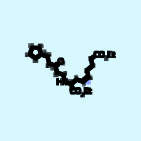 CCOC(=O)CCC/C=C\CC(NCCC(=O)CCC1CCCC1)C(=O)OCC